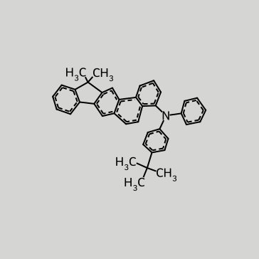 CC(C)(C)c1ccc(N(c2ccccc2)c2cccc3c2ccc2cc4c(cc23)C(C)(C)c2ccccc2-4)cc1